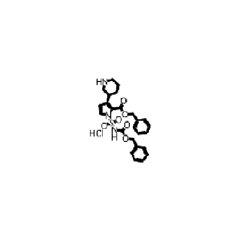 Cl.O=C(NS(=O)(=O)n1ccc(C2CCCNC2)c1C(=O)OCc1ccccc1)OCc1ccccc1